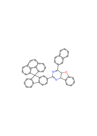 c1ccc2c(c1)OC1C(c3ccc4ccccc4c3)=NC(c3ccc4c(c3)C3(c5ccccc5-4)c4cccc5ccc6cccc3c6c45)=NC21